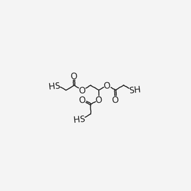 O=C(CS)OCC(OC(=O)CS)OC(=O)CS